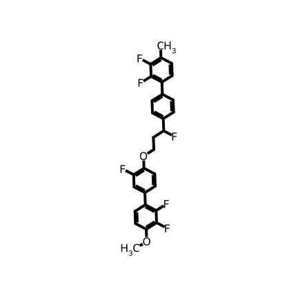 COc1ccc(-c2ccc(OCCC(F)c3ccc(-c4ccc(C)c(F)c4F)cc3)c(F)c2)c(F)c1F